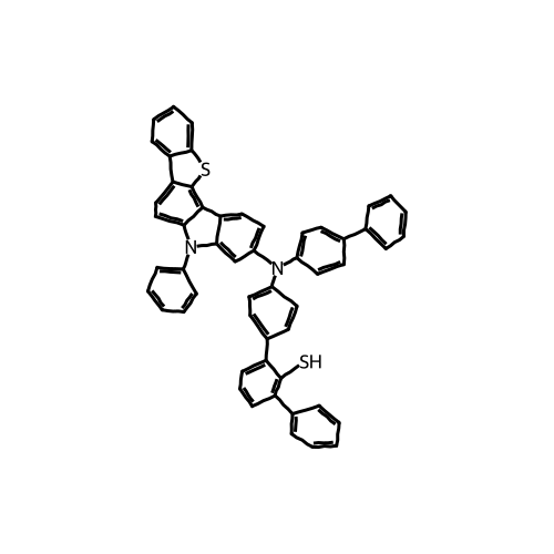 Sc1c(-c2ccccc2)cccc1-c1ccc(N(c2ccc(-c3ccccc3)cc2)c2ccc3c4c5sc6ccccc6c5ccc4n(-c4ccccc4)c3c2)cc1